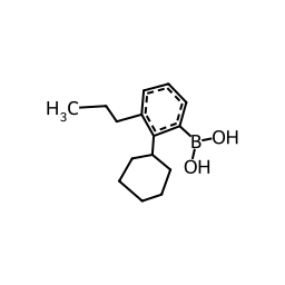 CCCc1cccc(B(O)O)c1C1CCCCC1